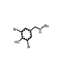 CC(C)(C)NCc1cc(Br)c(O)c(Br)c1